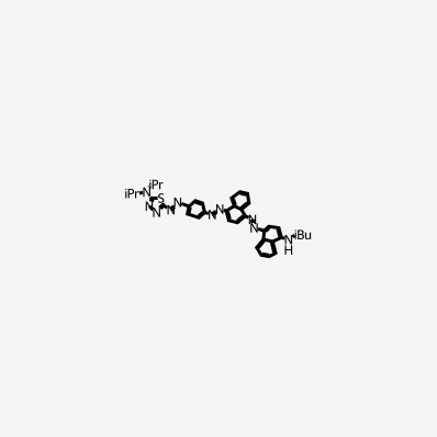 CCC(C)Nc1ccc(/N=N/c2ccc(/N=N/c3ccc(/N=N/c4nnc(N(C(C)C)C(C)C)s4)cc3)c3ccccc23)c2ccccc12